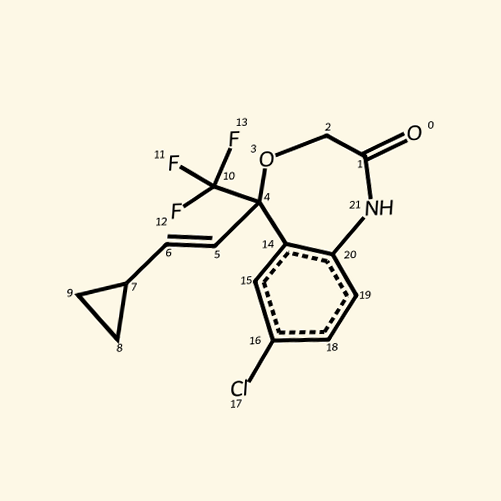 O=C1COC(C=CC2CC2)(C(F)(F)F)c2cc(Cl)ccc2N1